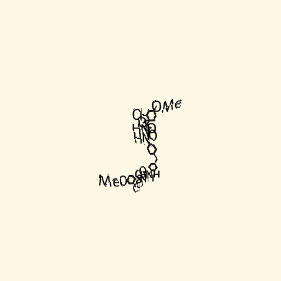 COc1ccc(S(=O)(=O)NC(=O)Nc2ccc(Cc3ccc(NC(=O)NS(=O)(=O)c4ccc(OC)cc4Cl)cc3)cc2)c(Cl)c1